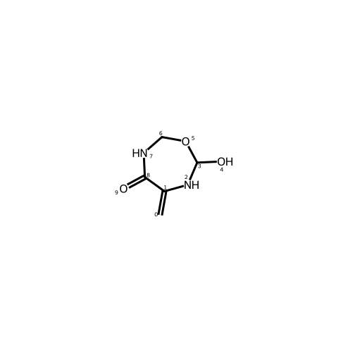 C=C1NC(O)OCNC1=O